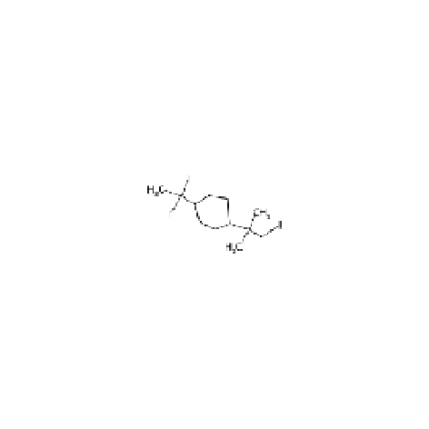 CC(I)(I)C1CCC(C(C)(C)CI)CC1